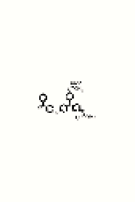 COC(C)Oc1ccc([S+](c2ccc(OC(C)OC)cc2)c2ccc(Sc3ccc(C(=O)c4ccccc4)cc3)cc2)cc1